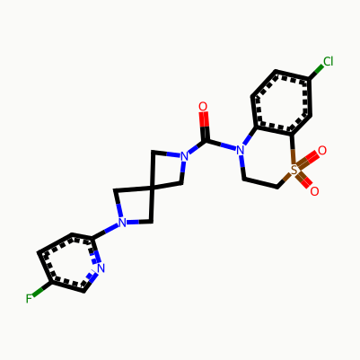 O=C(N1CC2(C1)CN(c1ccc(F)cn1)C2)N1CCS(=O)(=O)c2cc(Cl)ccc21